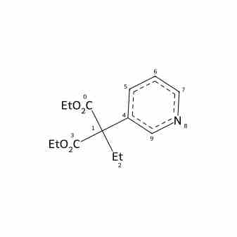 CCOC(=O)C(CC)(C(=O)OCC)c1cccnc1